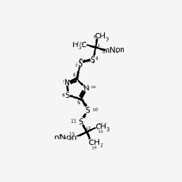 CCCCCCCCCC(C)(C)SSc1nsc(SSC(C)(C)CCCCCCCCC)n1